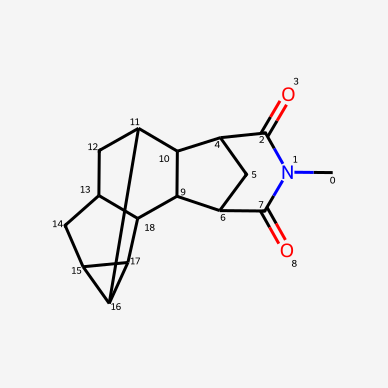 CN1C(=O)C2CC(C1=O)C1C2C2CC3CC4C2C4C31